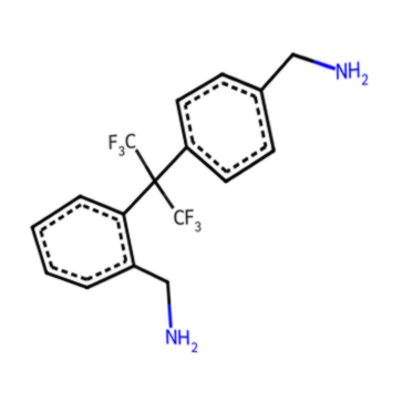 NCc1ccc(C(c2ccccc2CN)(C(F)(F)F)C(F)(F)F)cc1